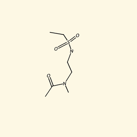 CCS(=O)(=O)[N]CCN(C)C(C)=O